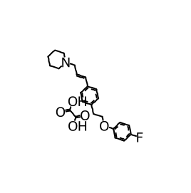 Fc1ccc(OCCc2ccc(/C=C/CN3CCCCC3)cc2)cc1.O=C(O)C(=O)O